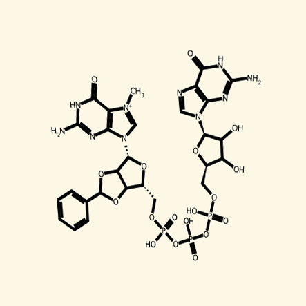 C[n+]1cn([C@@H]2O[C@H](COP(=O)(O)OP(=O)(O)OP(=O)(O)OC[C@H]3O[C@@H](n4cnc5c(=O)[nH]c(N)nc54)C(O)C3O)C3OC(c4ccccc4)OC32)c2nc(N)[nH]c(=O)c21